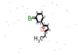 CCc1ccc(-c2cccc(Br)c2)o1